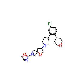 Fc1ccc(C2CCOCC2)c(C2CCN(C3COC4(C3)CN(c3ncco3)C4)CC2)c1